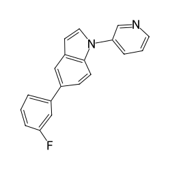 Fc1cccc(-c2ccc3c(ccn3-c3cccnc3)c2)c1